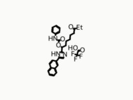 CCC(=O)CCCCCC(OC(=O)Nc1ccccc1)c1ncc(-c2ccc3ccccc3c2)[nH]1.O=C(O)C(F)(F)F